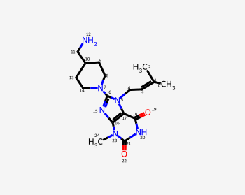 CC(C)=CCn1c(N2CCC(CN)CC2)nc2c1c(=O)[nH]c(=O)n2C